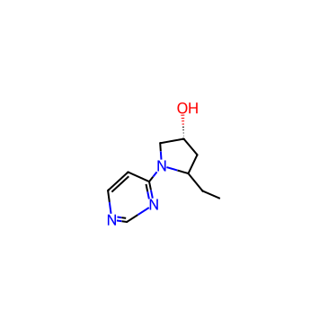 CCC1C[C@@H](O)CN1c1ccncn1